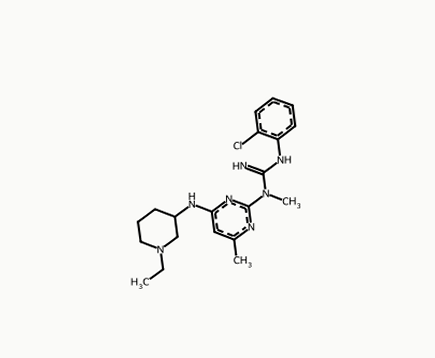 CCN1CCCC(Nc2cc(C)nc(N(C)C(=N)Nc3ccccc3Cl)n2)C1